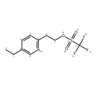 CCc1ccc(CCOS(=O)(=O)C(F)(F)F)nc1